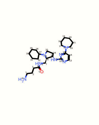 NCCCC(=O)NC[C@@H]1[C@@H](Nc2nccc(N3CCCCCC3)n2)CCN1C1CCCCC1